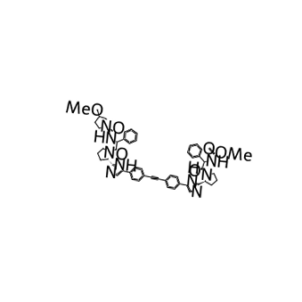 COC(=O)N[C@@H](C(=O)N1CCC[C@H]1c1ncc(-c2ccc(C#Cc3ccc(-c4cnc([C@@H]5CCCN5C(=O)[C@H](NC(=O)N5CC[C@@H](OC)C5)c5ccccc5)[nH]4)cc3)cc2)[nH]1)c1ccccc1